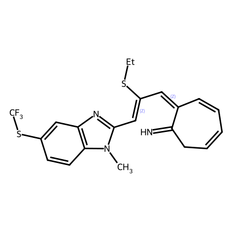 CCSC(=C\c1nc2cc(SC(F)(F)F)ccc2n1C)/C=C1/C=CC=CCC1=N